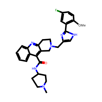 COc1ccc(F)cc1-c1nc(CN2CCc3nc4ccccc4c(C(=O)NC4CCN(C)CC4)c3C2)c[nH]1